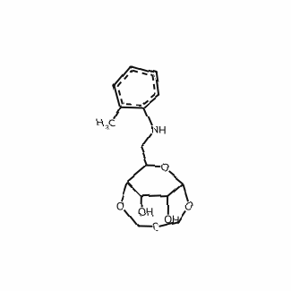 Cc1ccccc1NCC1OC2OCCCOC1C(O)C2O